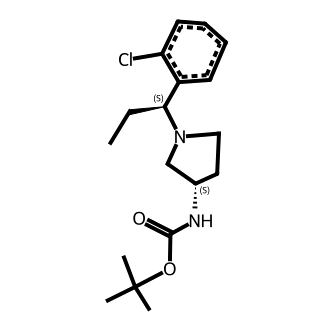 CC[C@@H](c1ccccc1Cl)N1CC[C@H](NC(=O)OC(C)(C)C)C1